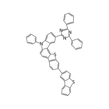 c1ccc(-c2nc(-c3ccccc3)nc(-c3ccc4c(c3)c3c5sc6cc(-c7ccc8sc9ccccc9c8c7)ccc6c5ccc3n4-c3ccccc3)n2)cc1